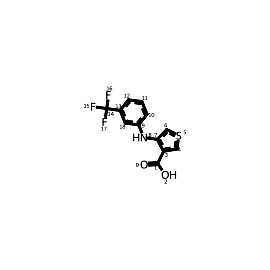 O=C(O)c1cscc1Nc1cccc(C(F)(F)F)c1